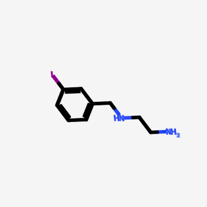 NCCNCc1cccc(I)c1